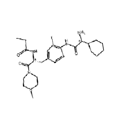 CCC(=O)N[C@H](Cc1ccc(NC(=O)[C@@H](N)C2CCCCC2)c(F)c1)C(=O)N1CCN(C)CC1